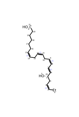 CC/C=C\C[C@H](O)/C=C/C=C\C/C=C\C/C=C\CCCCCC(=O)O